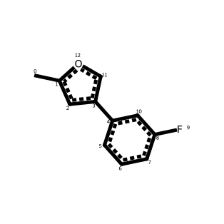 Cc1cc(-c2cccc(F)c2)co1